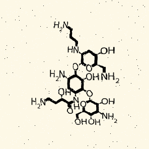 NCCCN[C@@H]1C[C@H](O)[C@@H](CN)O[C@@H]1OC1[C@@H](N)C[C@@H](NC(=O)[C@@H](O)CCN)[C@H](O[C@H]2O[C@H](CO)[C@@H](O)[C@H](N)[C@H]2O)[C@H]1O